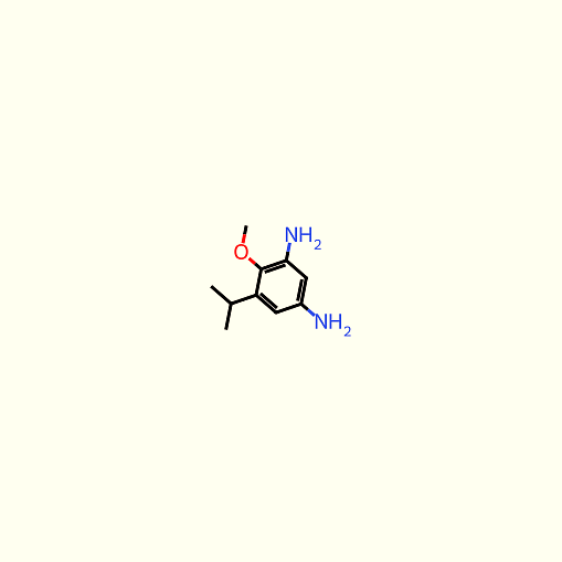 COc1c(N)cc(N)cc1C(C)C